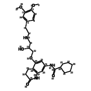 COc1ccc(CCNCC(O)COc2cc(NC(=O)C3CCCCC3)cc3c2CCC(=O)N3)cc1OC